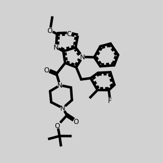 COc1ccc2c(n1)c(C(=O)N1CCN(C(=O)OC(C)(C)C)CC1)c(Cc1cccc(F)c1C)n2-c1ccccc1